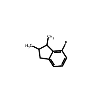 CC1Cc2cccc(F)c2C1C